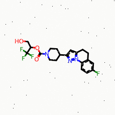 O=C(OC(CO)C(F)(F)F)N1CCC(c2cc3n(n2)-c2ccc(F)cc2CC3)CC1